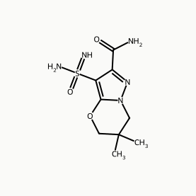 CC1(C)COc2c(S(=N)(N)=O)c(C(N)=O)nn2C1